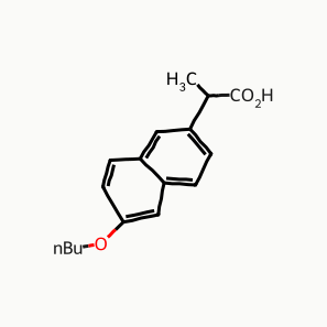 CCCCOc1ccc2cc(C(C)C(=O)O)ccc2c1